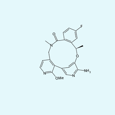 COc1nccc2c1-c1cnc(N)c(c1)O[C@H](C)c1cc(F)ccc1C(=O)N(C)C2